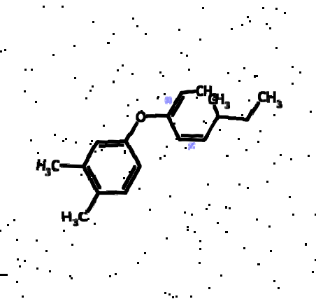 C/C=C(\C=C/C(C)CC)Oc1ccc(C)c(C)c1